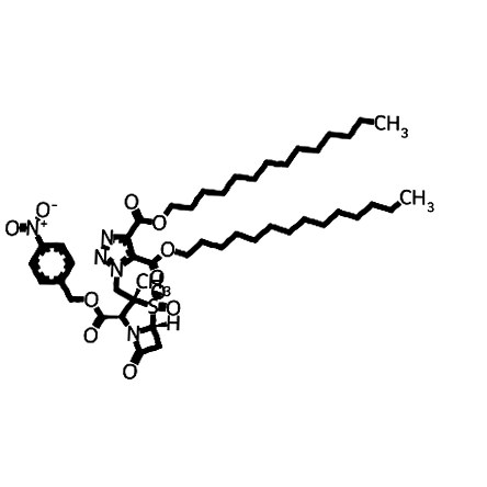 CCCCCCCCCCCCCCOC(=O)c1nnn(C[C@@]2(C)[C@H](C(=O)OCc3ccc([N+](=O)[O-])cc3)N3C(=O)C[C@H]3S2(=O)=O)c1C(=O)OCCCCCCCCCCCCCC